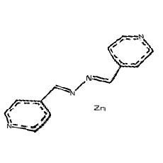 C(=NN=Cc1ccncc1)c1ccncc1.[Zn]